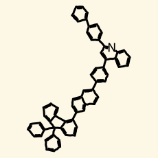 c1ccc(-c2ccc(-c3cc(-c4ccc(-c5ccc6cc(-c7cccc8c7-c7ccccc7C8(c7ccccc7)c7ccccc7)ccc6c5)cc4)c4ccccc4n3)cc2)cc1